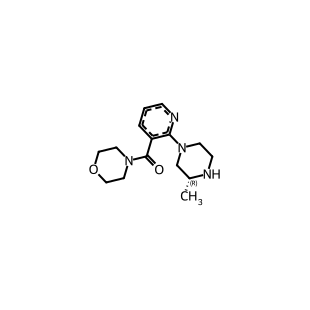 C[C@@H]1CN(c2ncccc2C(=O)N2CCOCC2)CCN1